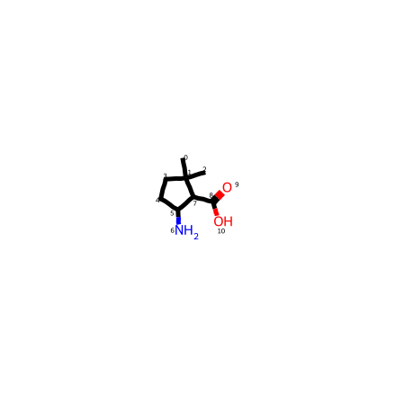 CC1(C)CCC(N)C1C(=O)O